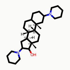 C[C@]12CC(N3CCCCC3)CCC1CC[C@@H]1[C@H]2CC[C@]2(C)C(O)C(N3CCCCC3)C[C@@H]12